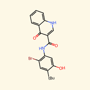 CC(C)(C)c1cc(Br)c(NC(=O)c2c[nH]c3ccccc3c2=O)cc1O